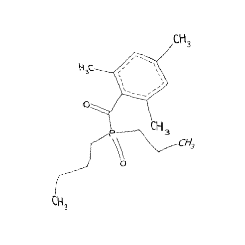 CCCCP(=O)(CCC)C(=O)c1c(C)cc(C)cc1C